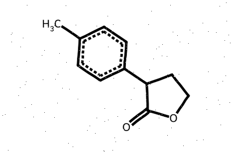 Cc1ccc(C2CCOC2=O)cc1